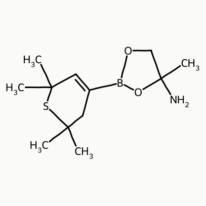 CC1(N)COB(C2=CC(C)(C)SC(C)(C)C2)O1